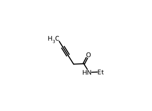 [CH2]CNC(=O)CC#CC